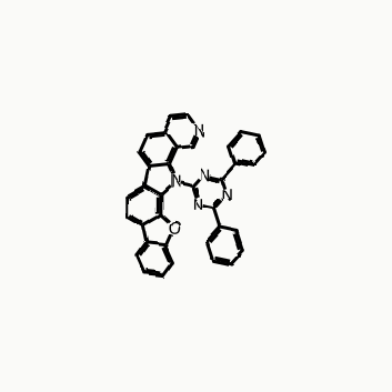 c1ccc(-c2nc(-c3ccccc3)nc(-n3c4c5cnccc5ccc4c4ccc5c6ccccc6oc5c43)n2)cc1